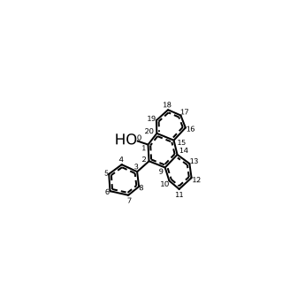 Oc1c(-c2ccccc2)c2ccccc2c2ccccc12